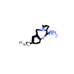 Cc1ccc2c(c1)Cn1cccc1C(N)=N2